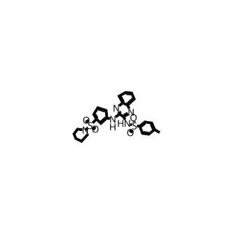 Cc1ccc(S(=O)(=O)Nc2nc3ccccc3nc2Nc2cccc(S(=O)(=O)N3CCCCC3)c2)cc1